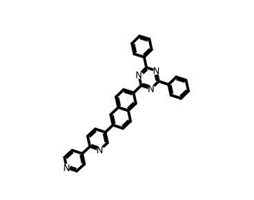 c1ccc(-c2nc(-c3ccccc3)nc(-c3ccc4cc(-c5ccc(-c6ccncc6)nc5)ccc4c3)n2)cc1